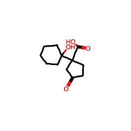 O=C1CCC(C(=O)O)(C2(O)CCCCC2)C1